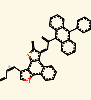 C=C/C=C\c1coc2c3ccccc3c3/c(=C/C(=C)c4c5ccccc5c(-c5ccccc5)c5ccccc45)c(=C)sc3c12